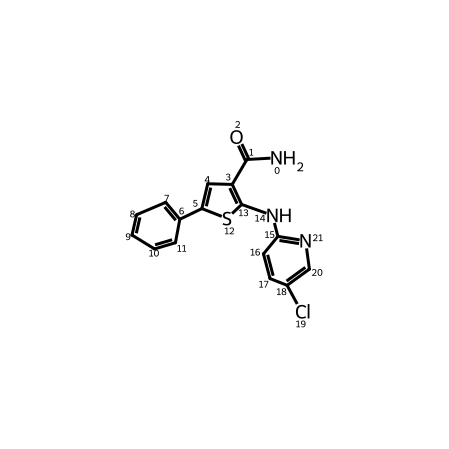 NC(=O)c1cc(-c2ccccc2)sc1Nc1ccc(Cl)cn1